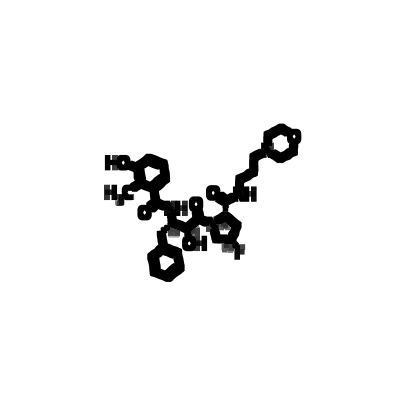 Cc1c(O)cccc1C(=O)N[C@@H](Cc1ccccc1)[C@H](O)C(=O)N1C[C@@H](F)C[C@H]1C(=O)NCCCN1CCOCC1